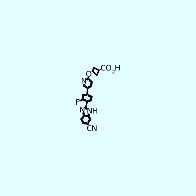 N#Cc1ccc2nc(-c3ccc(-c4ccc(O[C@H]5C[C@@H](C(=O)O)C5)nc4)cc3F)[nH]c2c1